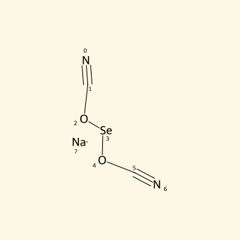 N#CO[Se]OC#N.[Na]